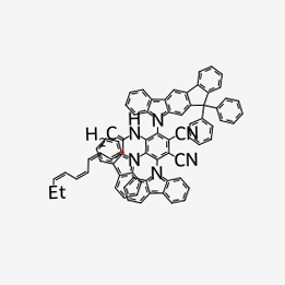 C=C(\C=C/C=C\C=C/C=C\CC)Nc1c(-n2c3ccccc3c3cc4c(cc32)C(c2ccccc2)(c2ccccc2)c2ccccc2-4)c(C#N)c(C#N)c(-n2c3ccccc3c3ccccc32)c1-n1c2ccccc2c2ccccc21